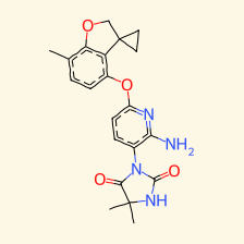 Cc1ccc(Oc2ccc(N3C(=O)NC(C)(C)C3=O)c(N)n2)c2c1OCC21CC1